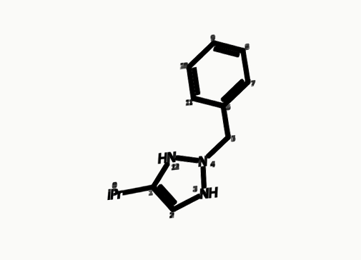 CC(C)C1=CNN(Cc2ccccc2)N1